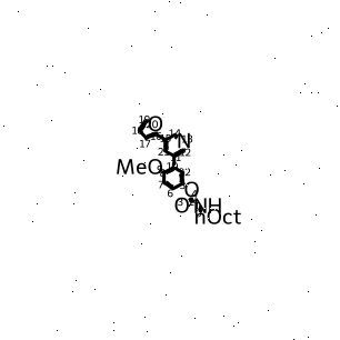 CCCCCCCCNC(=O)Oc1ccc(OC)c(-c2cncc(-c3ccco3)c2)c1